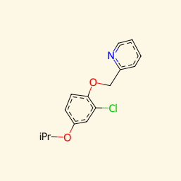 CC(C)Oc1ccc(OCc2ccccn2)c(Cl)c1